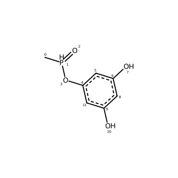 C[PH](=O)Oc1cc(O)cc(O)c1